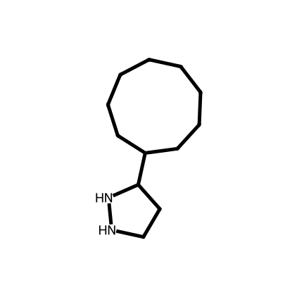 C1CCCCC(C2CCNN2)CCC1